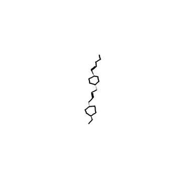 CCCC=C[C@H]1CC[C@H](CC=CC[C@H]2CC[C@H](CC)CC2)CC1